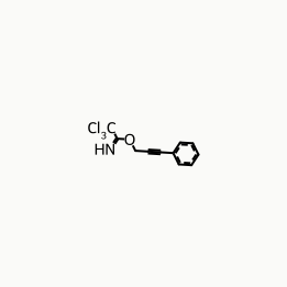 N=C(OCC#Cc1ccccc1)C(Cl)(Cl)Cl